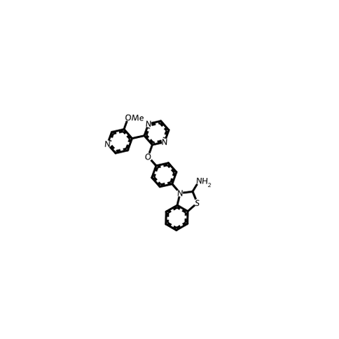 COc1cnccc1-c1nccnc1Oc1ccc(N2c3ccccc3SC2N)cc1